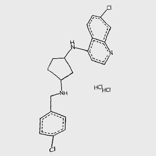 Cl.Cl.Clc1ccc(CNC2CCC(Nc3ccnc4cc(Cl)ccc34)C2)cc1